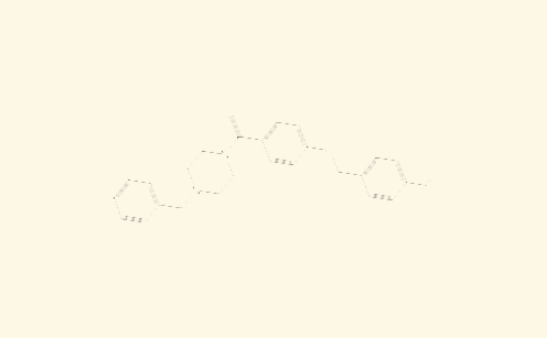 C=C(c1ccc(OCc2ccc(F)cc2)cc1)N1CCN(Cc2ccccc2)CC1